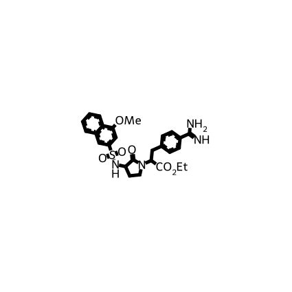 CCOC(=O)C(Cc1ccc(C(=N)N)cc1)N1CCC(NS(=O)(=O)c2cc(OC)c3ccccc3c2)C1=O